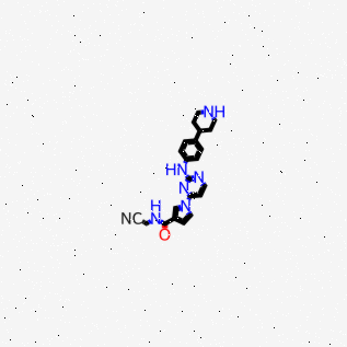 N#CCNC(=O)c1ccn(-c2ccnc(Nc3ccc(C4CCNCC4)cc3)n2)c1